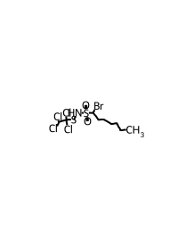 CCCCCCC(Br)S(=O)(=O)NSC(Cl)(Cl)C(Cl)Cl